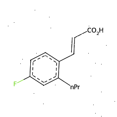 CCCc1cc(F)ccc1C=CC(=O)O